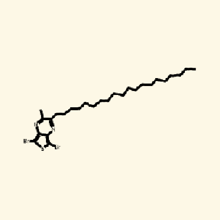 CCCCCCCCCCCCCCCCCCCCc1nc2c(Br)sc(Br)c2nc1C